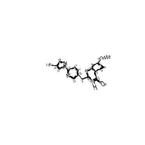 COc1ccc2c(=O)[nH]c(Cc3ccc(-n4cc(F)cn4)nc3)nc2c1